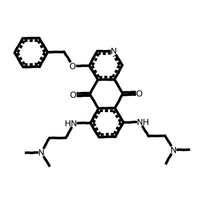 CN(C)CCNc1ccc(NCCN(C)C)c2c1C(=O)c1cncc(OCc3ccccc3)c1C2=O